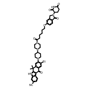 CCc1cc2c(cc1N1CCC(N3CCN(C(=O)CCCCCOc4ccc5c(c4)CN(C4CCC(=O)NC4=O)C5=O)CC3)CC1)C(C)(C)c1[nH]c3cc(C#N)ccc3c1C2=O